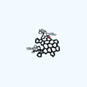 CC(C)(C)OC(=O)CCC1(CCC(=O)OC(C)(C)C)c2ccccc2-c2cc3c4cccc5c6cccc7c8cccc9c%10cccc%11c%12c%13c(cc%14c(c21)c3c1c(c54)c(c76)c(c89)c(c%10%11)c1c%14%12)-c1ccccc1C%13(CCC(=O)OC(C)(C)C)CCC(=O)OC(C)(C)C